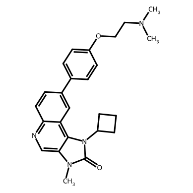 CN(C)CCOc1ccc(-c2ccc3ncc4c(c3c2)n(C2CCC2)c(=O)n4C)cc1